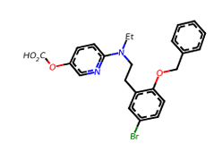 CCN(CCc1cc(Br)ccc1OCc1ccccc1)c1ccc(OC(=O)O)cn1